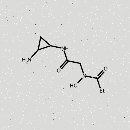 CCC(=O)N(O)CC(=O)NC1CC1N